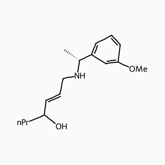 CCCC(O)/C=C/CN[C@H](C)c1cccc(OC)c1